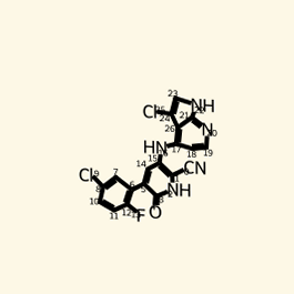 N#Cc1[nH]c(=O)c(-c2cc(Cl)ccc2F)cc1Nc1ccnc2[nH]cc(Cl)c12